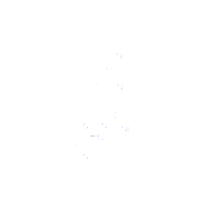 CN(C)C(=O)C1CCCN1C(=O)c1cc(N)n2nc(-c3ccccn3)nc2c1